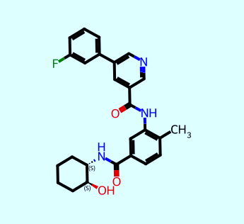 Cc1ccc(C(=O)N[C@H]2CCCC[C@@H]2O)cc1NC(=O)c1cncc(-c2cccc(F)c2)c1